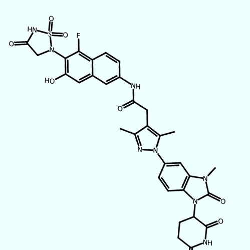 Cc1nn(-c2ccc3c(c2)n(C)c(=O)n3C2CCC(=O)NC2=O)c(C)c1CC(=O)Nc1ccc2c(F)c(N3CC(=O)NS3(=O)=O)c(O)cc2c1